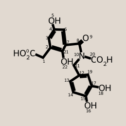 O=C(O)Cc1cc(O)cc(C(=O)N(Cc2ccc(O)c(O)c2)C(=O)O)c1O